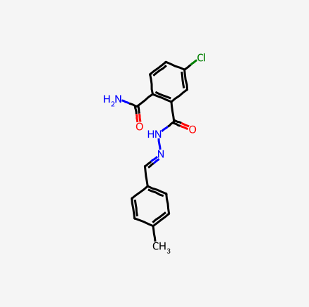 Cc1ccc(C=NNC(=O)c2cc(Cl)ccc2C(N)=O)cc1